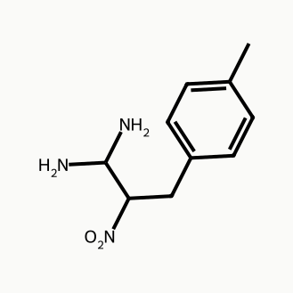 Cc1ccc(CC(C(N)N)[N+](=O)[O-])cc1